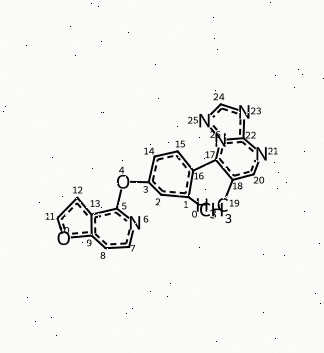 Cc1cc(Oc2nccc3occc23)ccc1-c1c(C)cnc2ncnn12